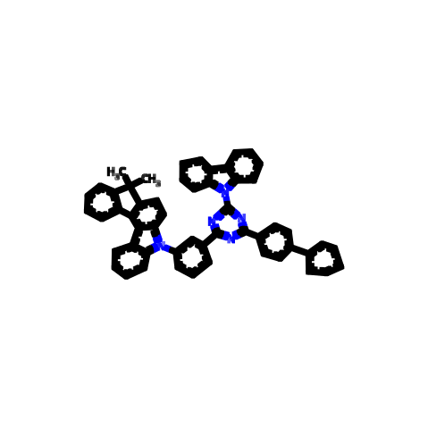 CC1(C)c2ccccc2-c2c1ccc1c2c2ccccc2n1-c1cccc(-c2nc(-c3ccc(-c4ccccc4)cc3)nc(-n3c4ccccc4c4ccccc43)n2)c1